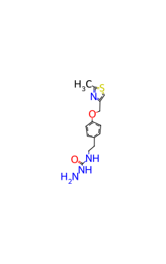 Cc1nc(COc2ccc(CCNC(=O)NN)cc2)cs1